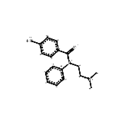 CN(C)CCN(C(=O)c1ccc([NH])cc1)c1ccccc1